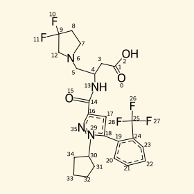 O=C(O)CC(CN1CCC(F)(F)C1)NC(=O)c1cc(-c2ccccc2C(F)(F)F)n(C2CCCC2)n1